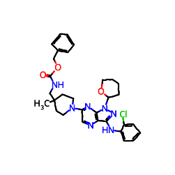 CC1(CNC(=O)OCc2ccccc2)CCN(c2cnc3c(Nc4ccccc4Cl)nn(C4CCCCO4)c3n2)CC1